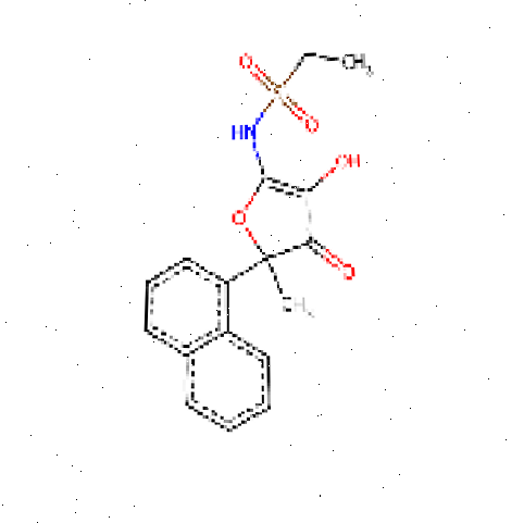 CCS(=O)(=O)NC1=C(O)C(=O)C(C)(c2cccc3ccccc23)O1